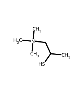 CC(S)C[N+](C)(C)C